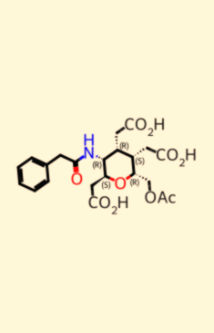 CC(=O)OC[C@@H]1O[C@@H](CC(=O)O)[C@H](NC(=O)Cc2ccccc2)[C@H](CC(=O)O)[C@@H]1CC(=O)O